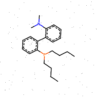 CCCCP(CCCC)c1ccccc1-c1ccccc1N(C)C